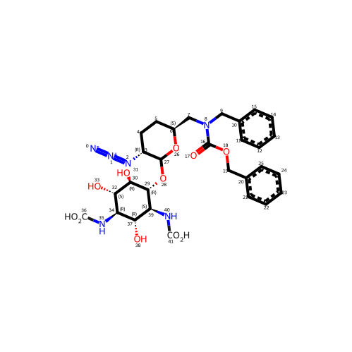 [N-]=[N+]=N[C@@H]1CC[C@@H](CN(Cc2ccccc2)C(=O)OCc2ccccc2)OC1O[C@H]1[C@H](O)[C@@H](O)[C@H](NC(=O)O)[C@@H](O)[C@@H]1NC(=O)O